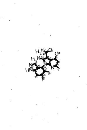 COc1cc(C)nc2c1c(C(N)=O)c(N)n2-c1c(C)c(F)cc2[nH]ncc12